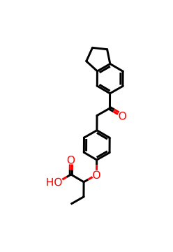 CCC(Oc1ccc(CC(=O)c2ccc3c(c2)CCC3)cc1)C(=O)O